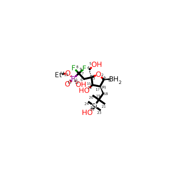 B[C@@H]1O[C@](CO)(CC(F)(F)P(=O)(O)OCC)C(O)[C@@H]1CC(C)(C)[Si](C)(C)O